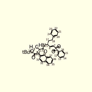 CC(C(=O)N[C@H](/C=C/S(=O)(=O)c1ccccc1)CCc1ccccc1)N(C(=O)OC(C)(C)C)c1ccc2ccccc2c1